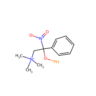 C[N+](C)(C)CC(O[PH-])(c1ccccc1)[N+](=O)[O-]